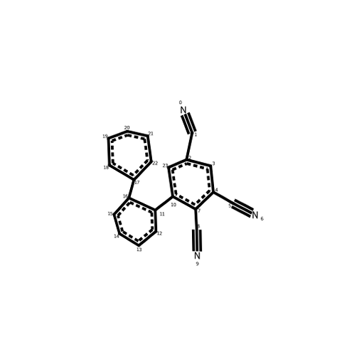 N#Cc1cc(C#N)c(C#N)c(-c2ccccc2-c2ccccc2)c1